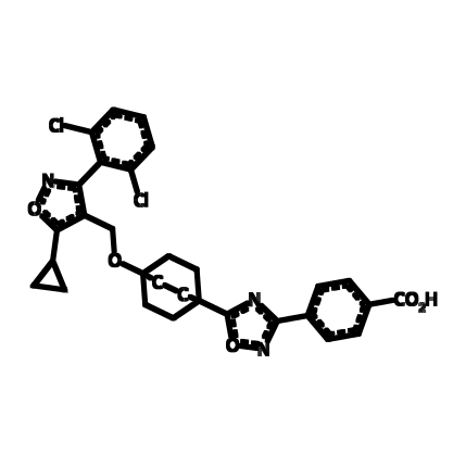 O=C(O)c1ccc(-c2noc(C34CCC(OCc5c(-c6c(Cl)cccc6Cl)noc5C5CC5)(CC3)CC4)n2)cc1